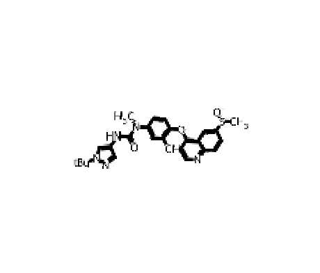 Cc1cc(N(C)C(=O)Nc2cnn(C(C)(C)C)c2)ccc1Oc1ccnc2ccc([S+](C)[O-])cc12